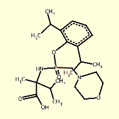 CC(C)c1cccc(C(C)C)c1OP(=O)(CN1CCOCC1)NC(C)(C(=O)O)C(C)C